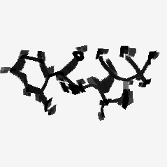 Cn1nc(C(F)(F)F)c(F)c1NC(=O)c1ccccc1F